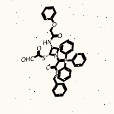 O=CC(=O)S[C@@H]1[C@H](NC(=O)COc2ccccc2)C(=O)N1C(C(=O)OCc1ccccc1)=P(c1ccccc1)(c1ccccc1)c1ccccc1